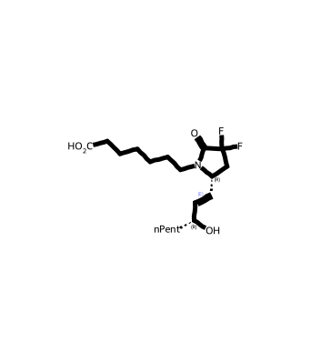 CCCCC[C@@H](O)/C=C/[C@H]1CC(F)(F)C(=O)N1CCCCCCC(=O)O